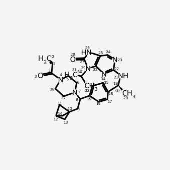 C=CC(=O)N1CCN(C(CC23CC(C2)C3)c2ccc([C@H](C)Nc3ncc4[nH]c(=O)n(C(C)C)c4n3)cc2)CC1